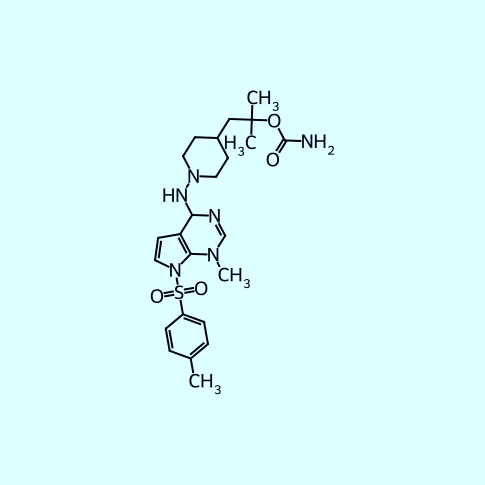 Cc1ccc(S(=O)(=O)n2ccc3c2N(C)C=NC3NN2CCC(CC(C)(C)OC(N)=O)CC2)cc1